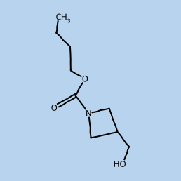 CCCCOC(=O)N1CC(CO)C1